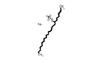 CCCCCCCCCCCCCCCC(CCCCCC)OOP(=O)([O-])[O-].[K+].[K+]